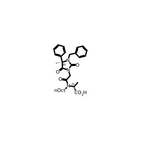 CCCCCCCCN(C(=O)CN1C(=O)N(Cc2ccccc2)[C@](C)(c2ccccc2)C1=O)[C@@H](C)C(=O)O